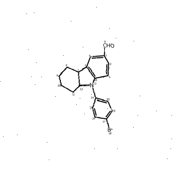 O=Cc1ccc2c(c1)C1CCCCC1N2c1ccc(Br)cc1